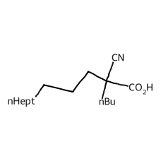 CCCCCCCCCCC(C#N)(CCCC)C(=O)O